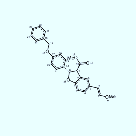 COC=Cc1ccc2c(c1)[C@H](C(=O)OC)[C@@H](c1ccc(OCc3ccccc3)cc1)O2